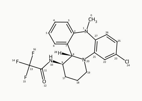 CN1c2ccccc2[C@H]2[C@H](NC(=O)C(F)(F)F)CCCN2c2cc(Cl)ccc21